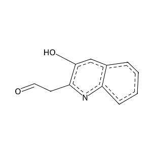 O=CCc1nc2ccccc2cc1O